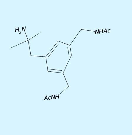 CC(=O)NCc1cc(CNC(C)=O)cc(CC(C)(C)N)c1